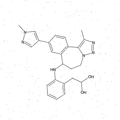 Cc1nnn2c1-c1ccc(-c3cnn(C)c3)cc1C(Nc1ccccc1CC(O)O)CC2